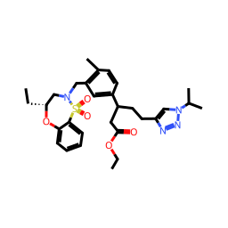 CCOC(=O)CC(CCc1cn(C(C)C)nn1)c1ccc(C)c(CN2C[C@@H](CC)Oc3ccccc3S2(=O)=O)c1